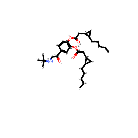 CCCCCC1CC1CC(=O)Oc1ccc(C(=O)CNC(C)(C)C)cc1OC(=O)CC1CC1CCCCC